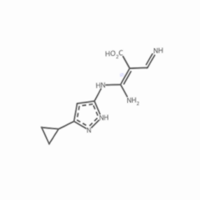 N=C/C(C(=O)O)=C(\N)Nc1cc(C2CC2)n[nH]1